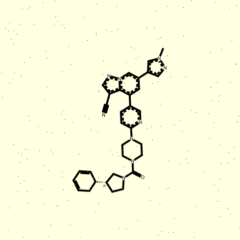 Cn1cc(-c2cc(-c3ccc(N4CCN(C(=O)N5CC[C@H](C6C=CC=CC6)C5)CC4)nc3)c3c(C#N)cnn3c2)cn1